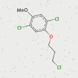 COc1cc(Cl)c(OCCCCl)cc1Cl